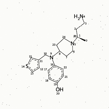 C[C@H](CCN)N1CCC(N(Cc2ccsc2)c2ccc(O)cc2)CC1